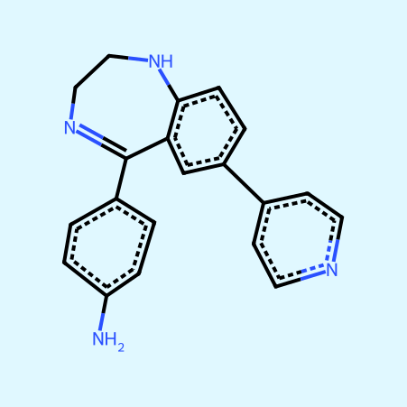 Nc1ccc(C2=NCCNc3ccc(-c4ccncc4)cc32)cc1